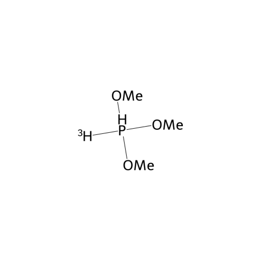 [3H][PH](OC)(OC)OC